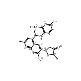 Cc1cc([C@@H](C)Nc2ccc(Cl)nc2C(=O)O)c2nc(N3CC(=O)C(C)C3)c(C#N)nc2c1